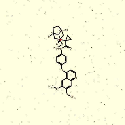 COc1cc2nccc(Oc3ccc(NC(=O)C4(C(=O)N5[C@@H]6CC[C@H]5C[C@H](OC)C6)CC4)cc3)c2cc1OC